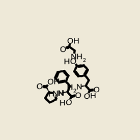 NCC(=O)O.N[C@@H](Cc1ccc(O)cc1)C(=O)O.N[C@@H](Cc1ccccc1)C(=O)O.O=C(O)[C@@H]1CCCN1